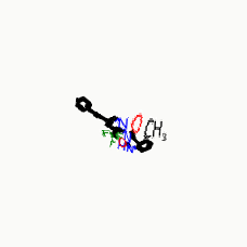 Cc1cccc2[nH]c(=O)n(-c3ncc(C#Cc4ccccc4)cc3C(F)(F)F)c(=O)c12